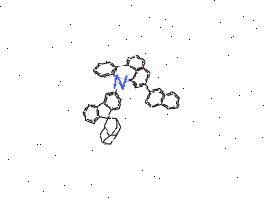 c1ccc(-c2ccccc2N(c2cccc(-c3ccc4ccccc4c3)c2)c2ccc3c(c2)-c2ccccc2C32C3CC4CC(C3)CC2C4)cc1